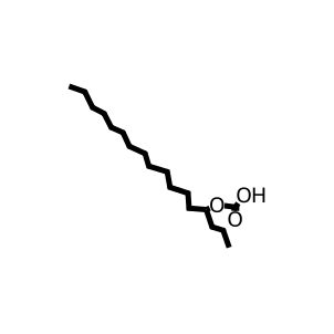 CCCCCCCCCCCCCC(CCC)OC(=O)O